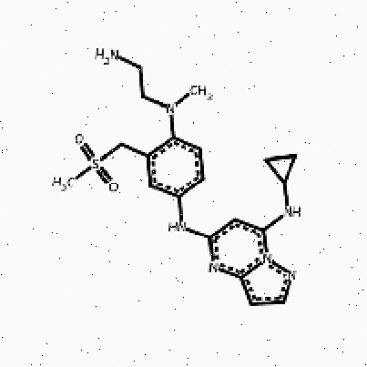 CN(CCN)c1ccc(Nc2cc(NC3CC3)n3nccc3n2)cc1CS(C)(=O)=O